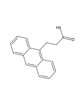 O=C(S)CCc1c2ccccc2cc2ccccc12